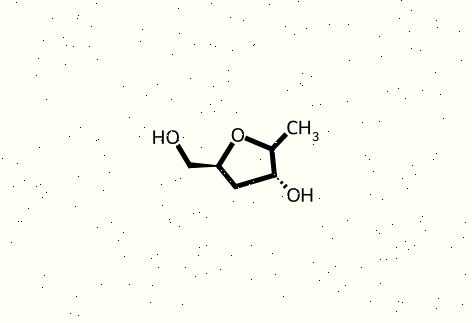 CC1O[C@H](CO)C[C@H]1O